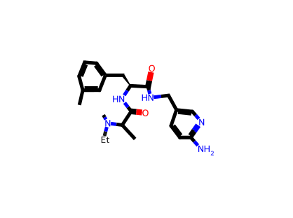 CCN(C)C(C)C(=O)N[C@@H](Cc1cccc(C)c1)C(=O)NCc1ccc(N)nc1